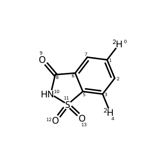 [2H]c1cc([2H])c2c(c1)C(=O)NS2(=O)=O